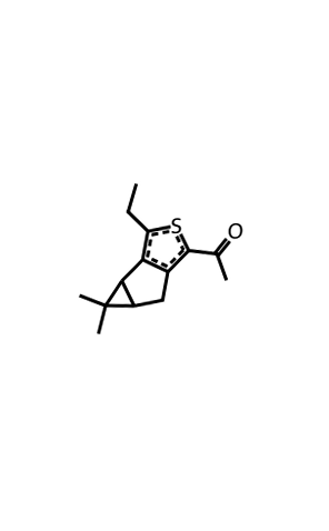 CCc1sc(C(C)=O)c2c1C1C(C2)C1(C)C